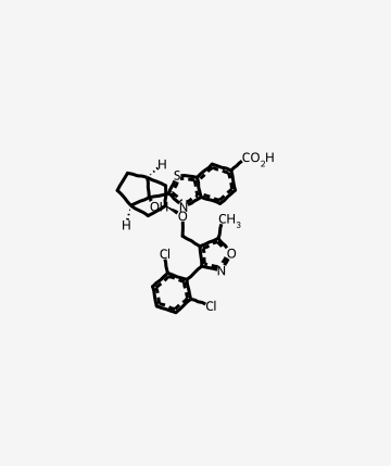 Cc1onc(-c2c(Cl)cccc2Cl)c1CO[C@H]1C[C@H]2CC[C@@H](C1)[C@]2(O)c1nc2ccc(C(=O)O)cc2s1